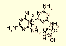 C=O.Nc1nc(N)nc(N)n1.Nc1nc(N)nc(N)n1.O=[Si](O)O